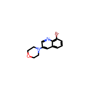 Brc1cccc2cc(N3CCOCC3)cnc12